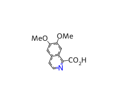 COc1cc2ccnc(C(=O)O)c2cc1OC